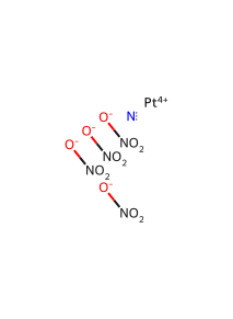 O=[N+]([O-])[O-].O=[N+]([O-])[O-].O=[N+]([O-])[O-].O=[N+]([O-])[O-].[N].[Pt+4]